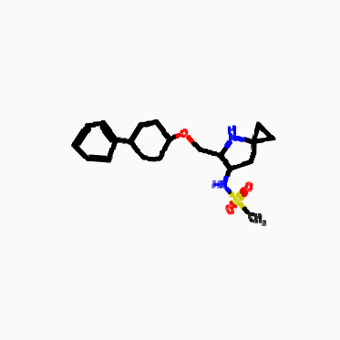 CS(=O)(=O)NC1CC2(CC2)NC1COC1CCC(c2ccccc2)CC1